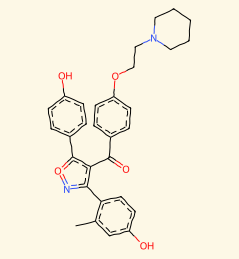 Cc1cc(O)ccc1-c1noc(-c2ccc(O)cc2)c1C(=O)c1ccc(OCCN2CCCCC2)cc1